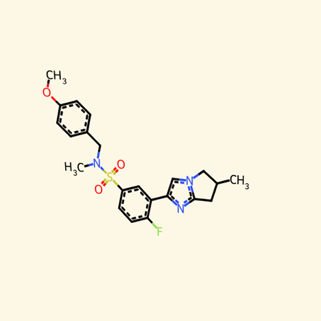 COc1ccc(CN(C)S(=O)(=O)c2ccc(F)c(-c3cn4c(n3)CC(C)C4)c2)cc1